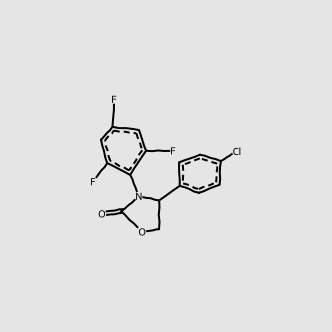 O=C1OCC(c2ccc(Cl)cc2)N1c1c(F)cc(F)cc1F